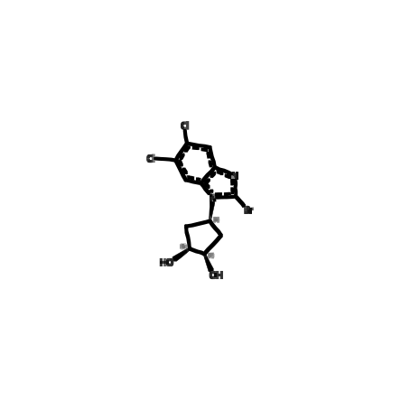 O[C@@H]1C[C@H](n2c(Br)nc3cc(Cl)c(Cl)cc32)C[C@@H]1O